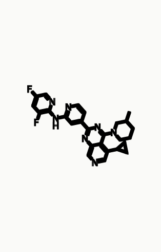 CC1CCCN(c2nc(-c3ccnc(Nc4ncc(F)cc4F)c3)nc3cncc(C4CC4)c23)C1